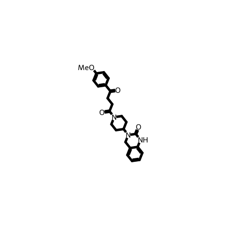 COc1ccc(C(=O)CCC(=O)N2CCC(N3Cc4ccccc4NC3=O)CC2)cc1